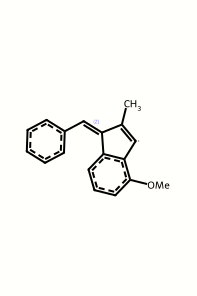 COc1cccc2c1[C]=C(C)/C2=C/c1ccccc1